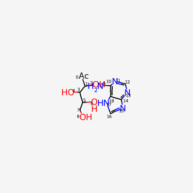 CC(=O)C(O)C(O)C(O)CO.Nc1ncnc2nc[nH]c12